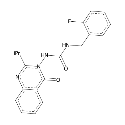 CC(C)c1nc2ccccc2c(=O)n1NC(=O)NCc1ccccc1F